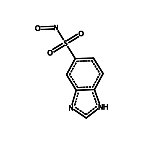 O=NS(=O)(=O)c1ccc2[nH]cnc2c1